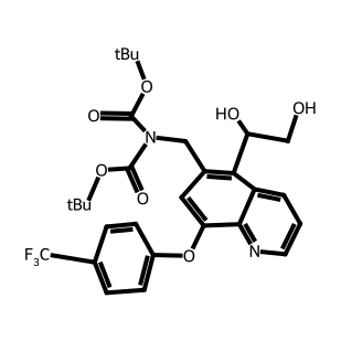 CC(C)(C)OC(=O)N(Cc1cc(Oc2ccc(C(F)(F)F)cc2)c2ncccc2c1C(O)CO)C(=O)OC(C)(C)C